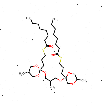 CCCCCCCC(=O)SCCC[Si]1(OCC(C)CO[Si]2(CCCSC(=O)CCCCCCC)OCC(C)CO2)COC(C)CO1